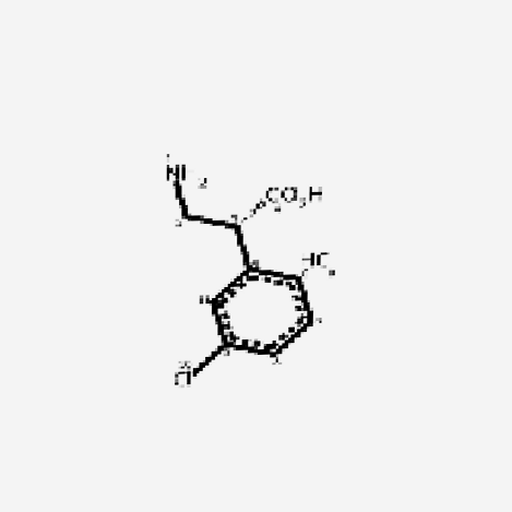 Cl.NC[C@H](C(=O)O)c1cccc(Cl)c1